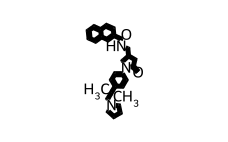 CC(C)(CN1CCCC1)c1ccc(N2CC(CNC(=O)c3ccc4ccccc4c3)CC2=O)cc1